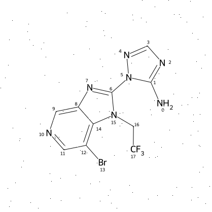 Nc1ncnn1-c1nc2cncc(Br)c2n1CC(F)(F)F